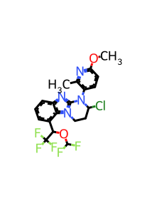 COc1ccc(N2c3nc4cccc(C(OC(F)F)C(F)(F)F)c4n3CCC2Cl)c(C)n1